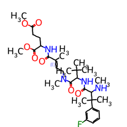 CNC(C(=O)NC(C(=O)N(C)C/C=C(\C)C(=O)NC(CCC(=O)OC)C(=O)OC)C(C)(C)C)C(C)(C)c1cccc(F)c1